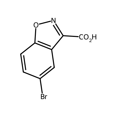 O=C(O)c1noc2ccc(Br)cc12